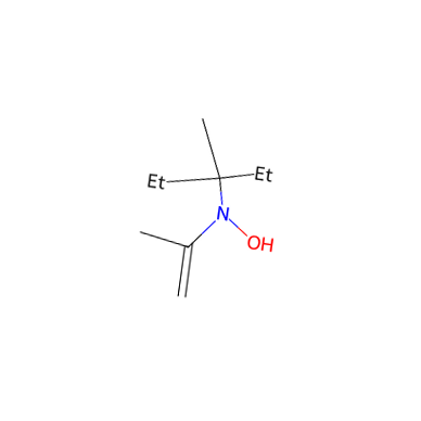 C=C(C)N(O)C(C)(CC)CC